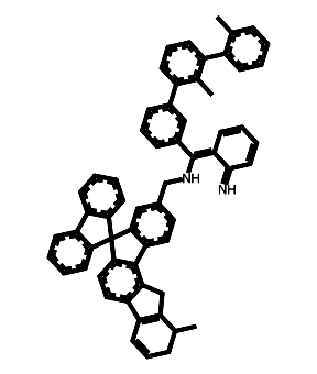 Cc1ccccc1-c1cccc(-c2cccc(/C(NCc3ccc4c(c3)C3(c5ccccc5-c5ccccc53)c3ccc5c(c3-4)CC3=C5C=CCC3C)=C3\C=CC=CC3=N)c2)c1C